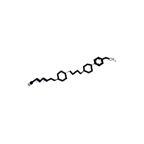 CCc1ccc([C@H]2CC[C@H](CCCC[C@H]3CC[C@H](CC/C=C/C=C/C#N)CC3)CC2)cc1